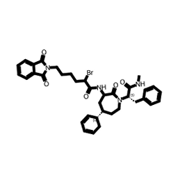 CNC(=O)[C@H](Cc1ccccc1)N1CCC([C@H]2C=CC=CC2)CC(NC(=O)C(Br)CCCCN2C(=O)c3ccccc3C2=O)C1=O